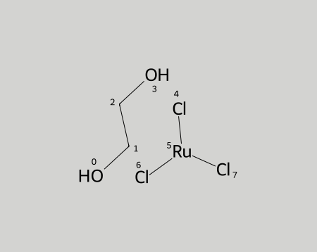 OCCO.[Cl][Ru]([Cl])[Cl]